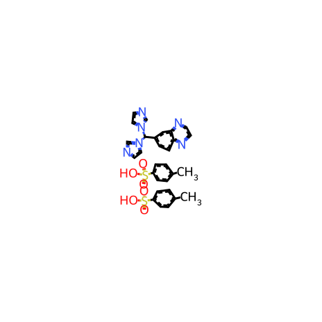 Cc1ccc(S(=O)(=O)O)cc1.Cc1ccc(S(=O)(=O)O)cc1.c1cn(C(c2ccc3nccnc3c2)n2ccnc2)cn1